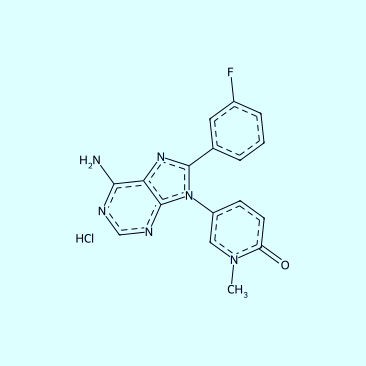 Cl.Cn1cc(-n2c(-c3cccc(F)c3)nc3c(N)ncnc32)ccc1=O